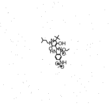 CCOP1(=O)N=C(c2c(O)c(C(C)(C)C)nn(CCC(C)C)c2=O)Nc2ccc(NS(C)(=O)=O)cc21